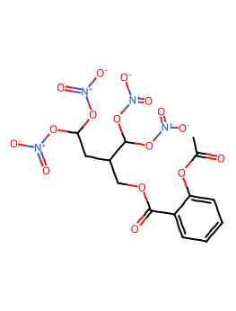 CC(=O)Oc1ccccc1C(=O)OCC(CC(O[N+](=O)[O-])O[N+](=O)[O-])C(O[N+](=O)[O-])O[N+](=O)[O-]